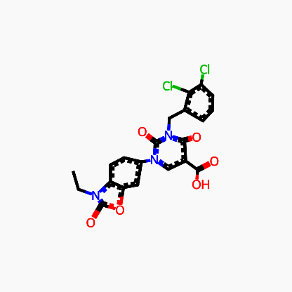 CCn1c(=O)oc2cc(-n3cc(C(=O)O)c(=O)n(Cc4cccc(Cl)c4Cl)c3=O)ccc21